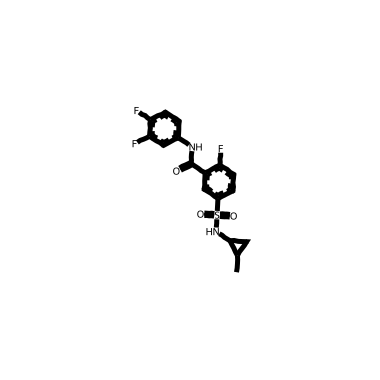 CC1CC1NS(=O)(=O)c1ccc(F)c(C(=O)Nc2ccc(F)c(F)c2)c1